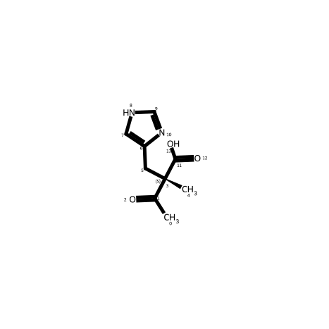 CC(=O)[C@](C)(Cc1c[nH]cn1)C(=O)O